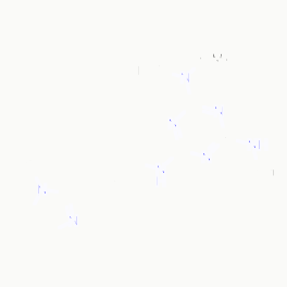 CCCNc1nc(NCCCc2nccn2C)nc(N(C)OC)n1